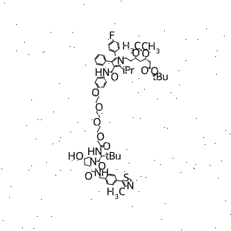 Cc1ncsc1-c1ccc(CNC(=O)[C@@H]2C[C@@H](O)CN2C(=O)C(NC(=O)COCCOCCOCCOc2ccc(NC(=O)c3c(-c4ccccc4)c(-c4ccc(F)cc4)n(CC[C@@H]4C[C@H](CC(=O)OC(C)(C)C)OC(C)(C)O4)c3C(C)C)cc2)C(C)(C)C)cc1